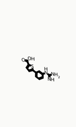 N=C(N)Nc1cccc(-c2ccc(C(=O)O)s2)c1